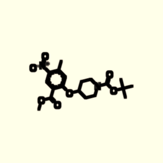 COC(=O)c1cc([N+](=O)[O-])c(C)cc1OC1CCN(C(=O)OC(C)(C)C)CC1